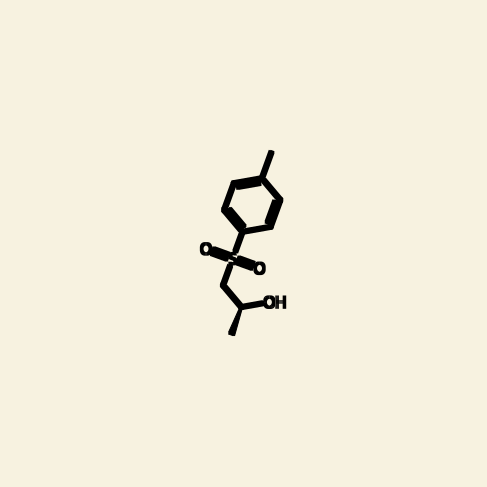 Cc1ccc(S(=O)(=O)C[C@H](C)O)cc1